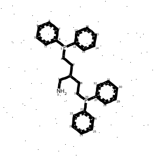 NCC(CCP(c1ccccc1)c1ccccc1)CCP(c1ccccc1)c1ccccc1